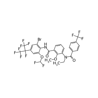 CCN(C(=O)c1ccc(C(F)(F)F)cc1)c1cccc(C(=O)Nc2c(Br)cc(C(F)(C(F)(F)F)C(F)(F)F)cc2OC(F)F)c1OC